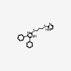 c1ccc(-c2nc(SCCCSc3ncc[nH]3)[nH]c2-c2ccccc2)cc1